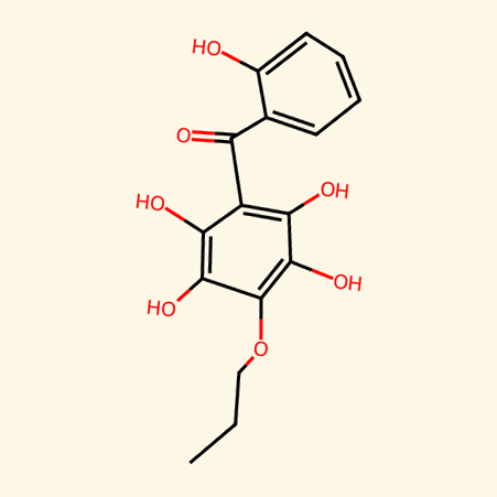 CCCOc1c(O)c(O)c(C(=O)c2ccccc2O)c(O)c1O